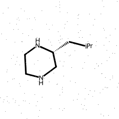 CC(C)C[C@@H]1CNCCN1